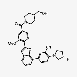 COc1cc(C(=O)N2CCC(CO)CC2)ccc1-c1cc2nccc(-c3ccc(N4CC[C@H](F)C4)c(C#N)c3)c2o1